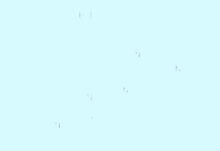 CN(Cc1ccccn1)c1nc(-c2ccccn2)nc2c1CCC2.Cl